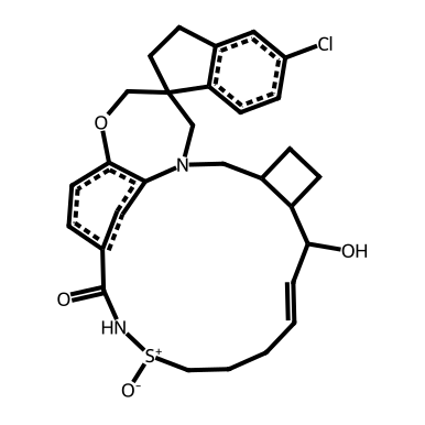 O=C1N[S+]([O-])CCC/C=C/C(O)C2CCC2CN2CC3(CCc4cc(Cl)ccc43)COc3ccc1cc32